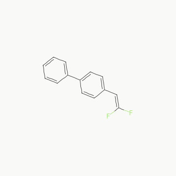 FC(F)=Cc1ccc(-c2ccccc2)cc1